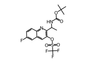 CC(NC(=O)OC(C)(C)C)c1nc2ccc(F)cc2cc1OS(=O)(=O)C(F)(F)F